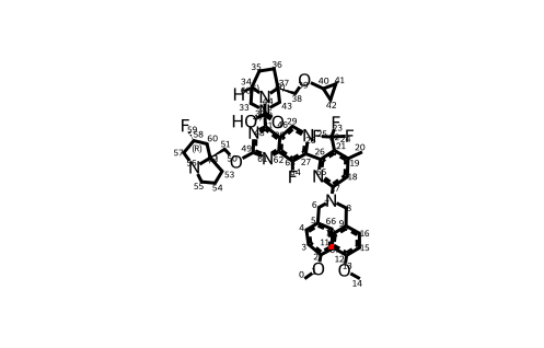 COc1ccc(CN(Cc2ccc(OC)cc2)c2cc(C)c(C(F)(F)F)c(-c3ncc4c(N5C[C@@H]6CC[C@](COC7CC7)(C5)N6C(=O)O)nc(OC[C@@]56CCCN5C[C@H](F)C6)nc4c3F)n2)cc1